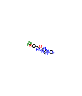 Cc1nc(N2CCN(C)CC2)nc2ncc(NC(=O)C=Cc3ccc(OC(F)(F)F)cc3)nc12